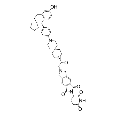 O=C1CCC(N2C(=O)c3cc4c(cc3C2=O)CN(CC(=O)N2CCC3(CC2)CCN(c2ccc([C@@H]5c6ccc(O)cc6CCC56CCCC6)cc2)CC3)C4)C(=O)N1